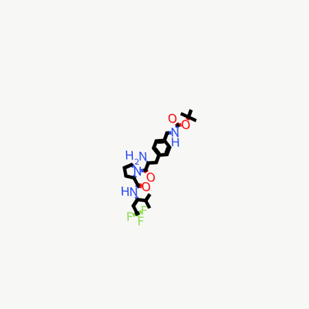 CC(C)C(CC(F)(F)F)NC(=O)C1CCCN1C(=O)[C@@H](N)Cc1ccc(CNC(=O)OC(C)(C)C)cc1